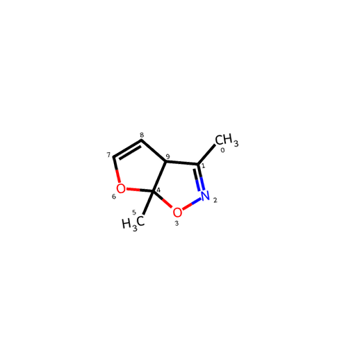 CC1=NOC2(C)OC=CC12